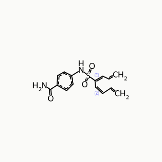 C=C/C=C\C(=C/C=C)S(=O)(=O)Nc1ccc(C(N)=O)cc1